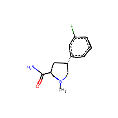 CN1C[C@@H](c2cccc(F)c2)[CH]C1C(N)=O